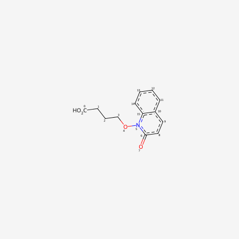 O=C(O)CCCOn1c(=O)ccc2ccccc21